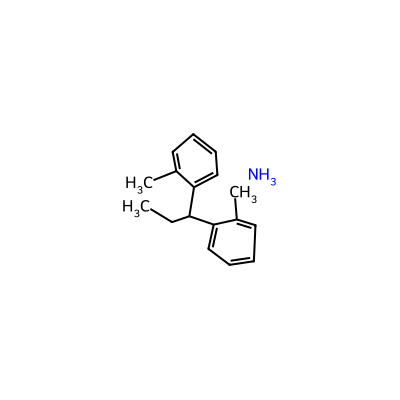 CCC(c1ccccc1C)c1ccccc1C.N